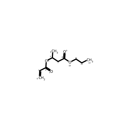 C=CC(=O)OC(C)CC(=O)OCCC